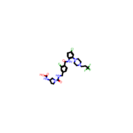 O=C(O)NC1CCN(C(=O)NCc2ccc(C(=O)Nc3ccc(Cl)cc3N3CCN(CCC(F)(F)F)CC3)c(F)c2)C1